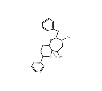 OC1CC(O)[C@H](Sc2ccccc2)OC2COC(c3ccccc3)O[C@H]12